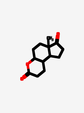 CC12CCC3OC(=O)CCC3C1CCC2=O